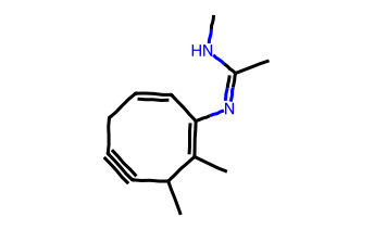 CN/C(C)=N\C1=C(C)C(C)C#CC/C=C\1